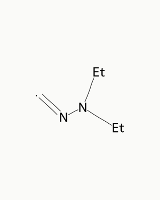 [CH]=NN(CC)CC